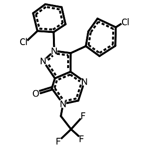 O=c1c2nn(-c3ccccc3Cl)c(-c3ccc(Cl)cc3)c2ncn1CC(F)(F)F